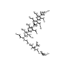 CCCN(CCC)C(=S)[S-].CCCN(CCC)C(=S)[S-].CCCN(CCC)C(=S)[S-].CCCN(CCC)C(=S)[S-].CCCN(CCC)C(=S)[S-].CCCN(CCC)C(=S)[S-].[Mo+4].[S]=[Mo+2]